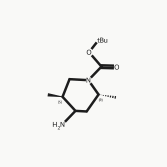 C[C@@H]1CC(N)[C@@H](C)CN1C(=O)OC(C)(C)C